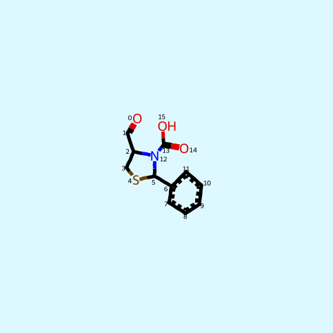 O=CC1CSC(c2ccccc2)N1C(=O)O